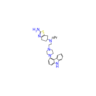 CCCN(CCN1CCN(c2cccc3[nH]c4ccccc4c23)CC1)C1CCc2nc(N)sc2C1